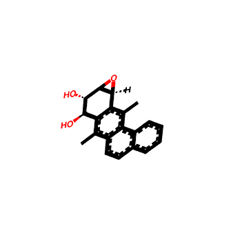 Cc1c2c(c(C)c3c1ccc1ccccc13)[C@@H]1OC1[C@@H](O)[C@@H]2O